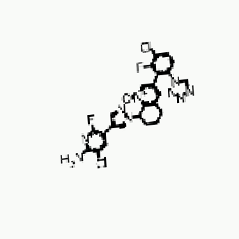 Nc1nc(F)c(-c2cnn(C3CCCc4cc(-c5c(-n6cnnn6)ccc(Cl)c5F)c[n+]([O-])c43)c2)cc1Cl